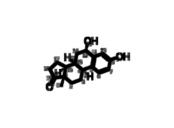 C[C@]12CC[C@@H]3c4ccc(O)cc4[C@H](O)C[C@H]3[C@@H]1CCC2=O